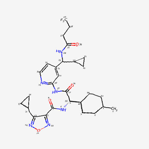 CC1CCC([C@H](NC(=O)c2nonc2C2CC2)C(=O)Nc2cc(C(NC(=O)CCC(F)(F)F)C3CC3)ccn2)CC1